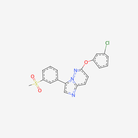 CS(=O)(=O)c1cccc(-c2cnc3ccc(Oc4cccc(Cl)c4)nn23)c1